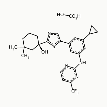 CC1(C)CCC[C@](O)(c2ncc(-c3cc(Nc4nccc(C(F)(F)F)n4)cc(C4CC4)c3)s2)C1.O=C(O)O